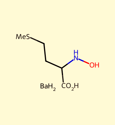 CSCCC(NO)C(=O)O.[BaH2]